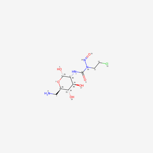 NC[C@H]1O[C@H](O)[C@H](NC(=O)N(CCCl)N=O)[C@@H](O)[C@@H]1O